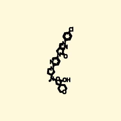 CN(CCC1(C(=O)O)CCOCC1)C1CCN(c2ccc(N3Cc4cn(-c5ccc(Cl)cc5)nc4C3=O)cn2)C1